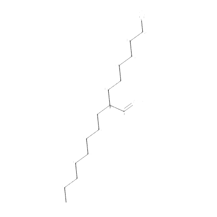 CCCCCCCCC(C=O)CCCCCCCl